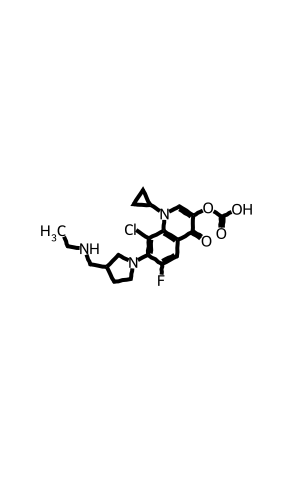 CCNCC1CCN(c2c(F)cc3c(=O)c(OC(=O)O)cn(C4CC4)c3c2Cl)C1